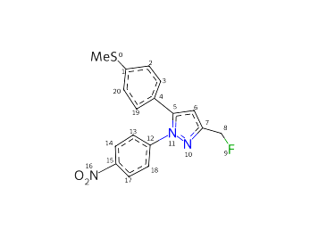 CSc1ccc(-c2cc(CF)nn2-c2ccc([N+](=O)[O-])cc2)cc1